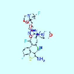 COC1CN(C(=O)N2CC3COCC(C2)N3c2nc(OC[C@@]34CCCN3C[C@H](F)C4)nc3c(F)c(-c4ccc(F)c5sc(N)c(C#N)c45)c(Cl)cc23)C1